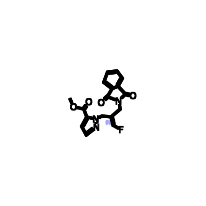 COC(=O)c1ccnn1C/C(=C/F)CN1C(=O)c2ccccc2C1=O